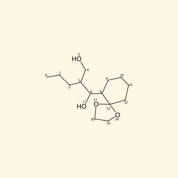 CCCC(CO)C(O)C1CCCCC12OCCO2